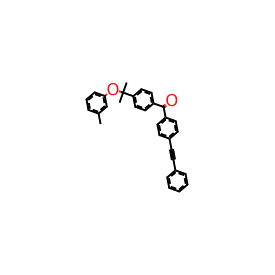 Cc1cccc(OC(C)(C)c2ccc(C(=O)c3ccc(C#Cc4ccccc4)cc3)cc2)c1